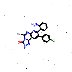 CC(C)(C)c1nc2nc(-c3ccccc3N)c(-c3ccc(Cl)cc3)cc2c2n[nH]c(=O)n12